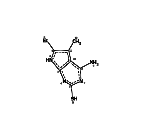 CCc1[nH]c2nc(S)nc(N)c2c1C